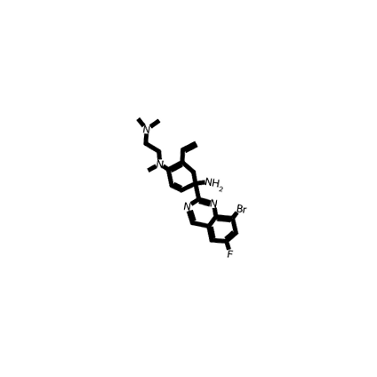 C=CC1=C(N(C)CCN(C)C)C=CC(N)(c2ncc3cc(F)cc(Br)c3n2)C1